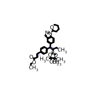 CCOC(=O)/C=C/c1ccc(/C(=C(/CC)B2OC(C)(C)C(C)(C)O2)c2ccc3c(cnn3C3CCCCO3)c2)cc1